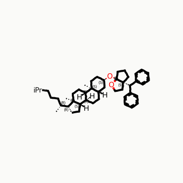 CC(C)CCC[C@@H](C)[C@H]1CC[C@H]2[C@@H]3CC[C@H]4C[C@@H](O[C@]56CCC[C@@]5(C(c5ccccc5)c5ccccc5)CCO6)CC[C@]4(C)[C@H]3CC[C@]12C